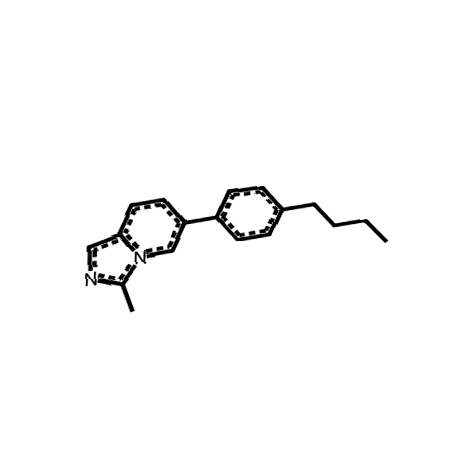 CCCCc1ccc(-c2ccc3cnc(C)n3c2)cc1